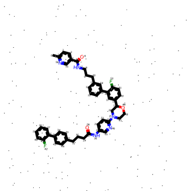 Cc1ccc(C(=O)NCCCc2cccc(-c3cc(C4CN(c5ccc(NC(=O)CCCc6ccc(-c7ccccc7F)cc6)cn5)CCO4)ccc3F)c2)cn1